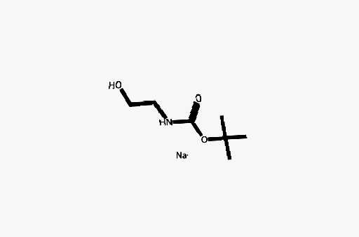 CC(C)(C)OC(=O)NCCO.[Na]